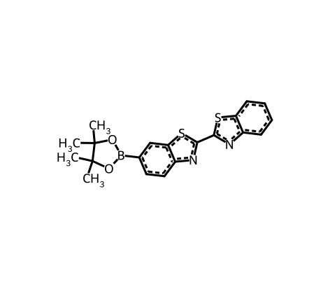 CC1(C)OB(c2ccc3nc(-c4nc5ccccc5s4)sc3c2)OC1(C)C